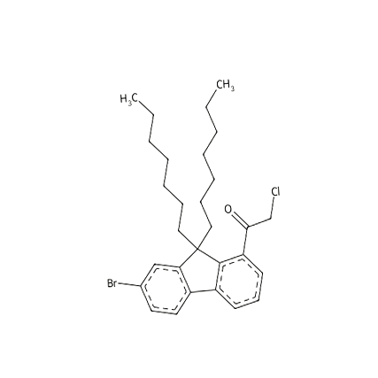 CCCCCCCC1(CCCCCCC)c2cc(Br)ccc2-c2cccc(C(=O)CCl)c21